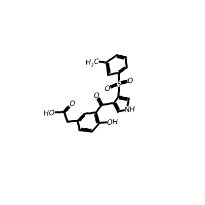 Cc1cccc(S(=O)(=O)c2c[nH]cc2C(=O)c2cc(CC(=O)O)ccc2O)c1